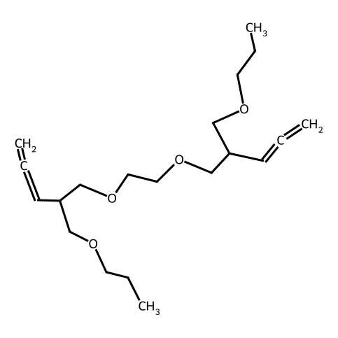 C=C=CC(COCCC)COCCOCC(C=C=C)COCCC